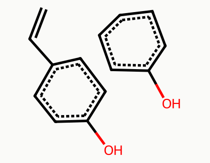 C=Cc1ccc(O)cc1.Oc1ccccc1